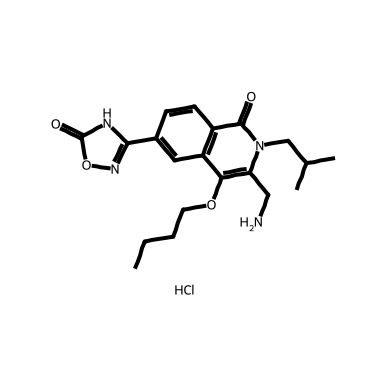 CCCCOc1c(CN)n(CC(C)C)c(=O)c2ccc(-c3noc(=O)[nH]3)cc12.Cl